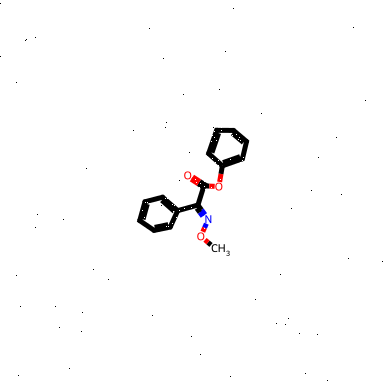 CON=C(C(=O)Oc1ccccc1)c1ccccc1